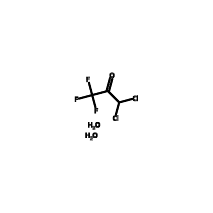 O.O.O=C(C(Cl)Cl)C(F)(F)F